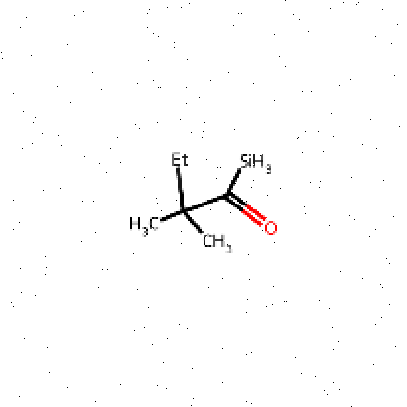 CCC(C)(C)C(=O)[SiH3]